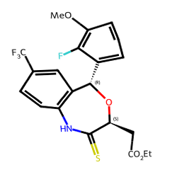 CCOC(=O)C[C@@H]1O[C@@H](c2cccc(OC)c2F)c2cc(C(F)(F)F)ccc2NC1=S